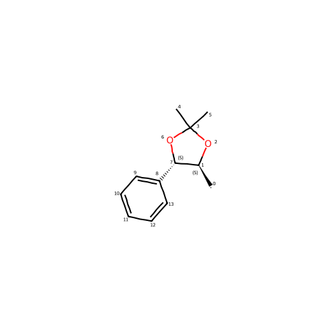 [CH2][C@@H]1OC(C)(C)O[C@H]1c1ccccc1